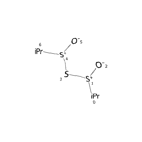 CC(C)[S+]([O-])S[S+]([O-])C(C)C